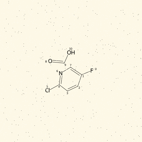 Fc1ccc(Cl)nc1.O=CO